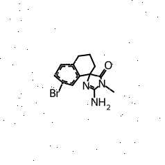 CN1C(=O)C2(CCCc3ccc(Br)cc32)N=C1N